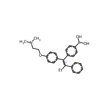 CC/C(=C(\c1ccc(OCCN(C)C)cc1)c1ccc(B(O)O)cc1)c1ccccc1